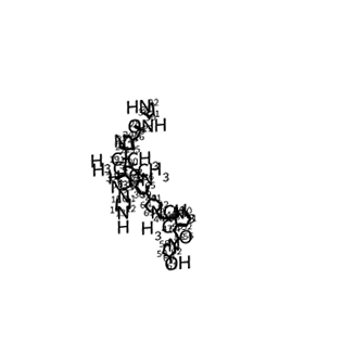 CC(C)(CC(C)(c1ccc(N2CCNCC2)nc1)C(C)(C)c1cncc(CC(=O)NC2CCNC2)c1)c1ccc(C2CCN(CC(C)(C)c3ncccc3CC(=O)N3CCC(O)C3)CC2)cn1